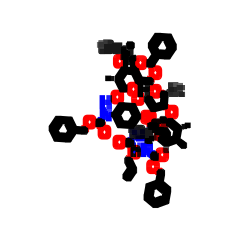 C=CCOC(=O)N[C@@H]1C[C@H](NC(=O)OCc2ccccc2)[C@@H](O[C@H]2O[C@@H]3COC(c4ccccc4)O[C@H]3[C@H](O[Si](C)(C)C(C)(C)C)[C@H]2C)[C@H](O[C@@H]2O[C@H](CC)[C@@H](O[C@H]3O[C@@H](CNC(=O)OCc4ccccc4)[C@@H](C)[C@H](C)[C@H]3C)[C@H]2O[Si](C)(C)C(C)(C)C)[C@H]1OCC=C